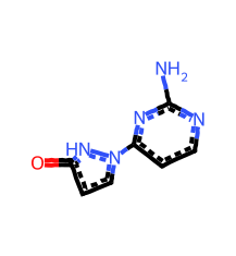 Nc1nccc(-n2ccc(=O)[nH]2)n1